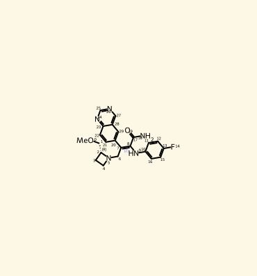 COC[C@H]1CCN1C/C(=C(\Nc1ccc(F)cc1)C(N)=O)c1ccc2ncncc2c1